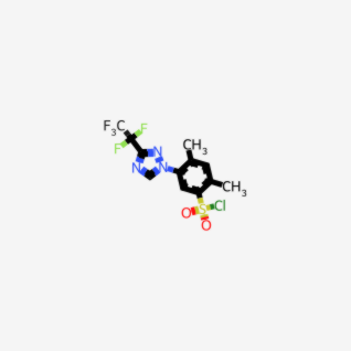 Cc1cc(C)c(S(=O)(=O)Cl)cc1-n1cnc(C(F)(F)C(F)(F)F)n1